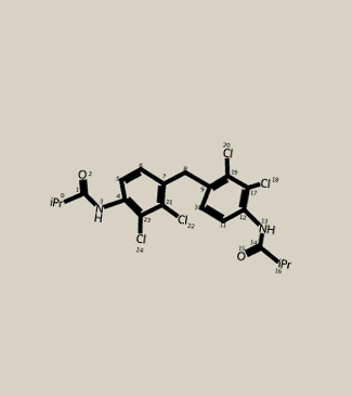 CC(C)C(=O)Nc1ccc(Cc2ccc(NC(=O)C(C)C)c(Cl)c2Cl)c(Cl)c1Cl